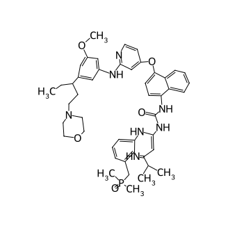 CCC(CCN1CCOCC1)c1cc(Nc2cc(Oc3ccc(NC(=O)N/C(=C/C(=N)C(C)C)Nc4cccc(CP(C)(C)=O)c4)c4ccccc34)ccn2)cc(OC)c1